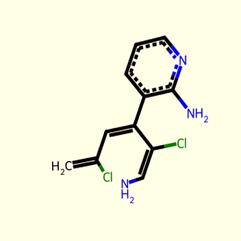 C=C(Cl)/C=C(\C(Cl)=C/N)c1cccnc1N